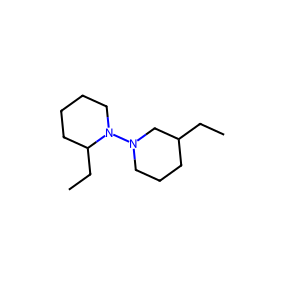 CCC1CCCN(N2CCCCC2CC)C1